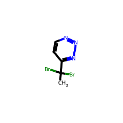 CC(Br)(Br)c1ccnnn1